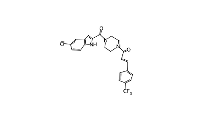 O=C(C=Cc1ccc(C(F)(F)F)cc1)N1CCN(C(=O)c2cc3cc(Cl)ccc3[nH]2)CC1